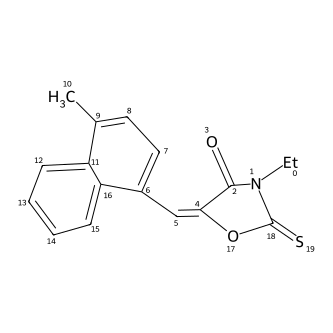 CCN1C(=O)/C(=C\c2ccc(C)c3ccccc23)OC1=S